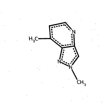 Cc1c[c]nc2cn(C)nc12